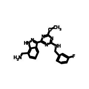 COc1nc(NCc2cccc(F)c2)nc(-c2n[nH]c3c(CN)cccc23)n1